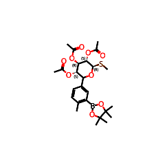 CS[C@H]1OC(c2ccc(C)c(B3OC(C)(C)C(C)(C)O3)c2)[C@H](OC(C)=O)[C@@H](OC(C)=O)[C@@H]1OC(C)=O